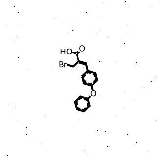 O=C(O)/C(=C/c1ccc(Oc2ccccc2)cc1)CBr